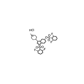 CN1CCC(c2cn(S(=O)(=O)c3c(F)cccc3F)c3ccc(OS(=O)(=O)c4c(F)cccc4F)cc23)CC1.Cl